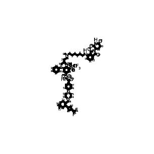 CN(CCCCCCNc1cccc2c1C(=O)N(C1CCC(=O)NC1=O)C2=O)CCC(CSc1ccccc1)Nc1ccc(S(=O)(=O)NC(=O)c2ccc(N3CCN(CC4=C(C5CC(C(F)F)C5)CC(C)(C)CC4)CC3)cc2)cc1S(=O)(=O)C(F)(F)F